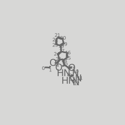 CCOc1oc(C(=O)Nc2nnn[nH]2)c2ccc(-c3ccccc3)cc12